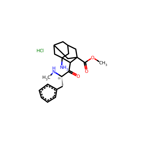 CN[C@@H](Cc1ccccc1)C(=O)C1C2(N)CC3CC(C2)CC1(C(=O)OC)C3.Cl